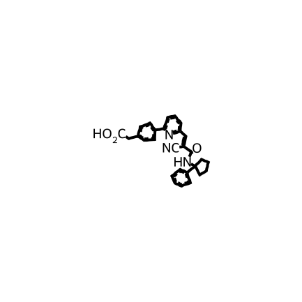 N#C/C(=C\c1cccc(-c2ccc(CC(=O)O)cc2)n1)C(=O)NC1(c2ccccc2)CCCC1